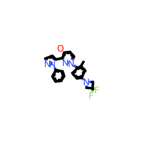 Cc1cc(N2CC(F)(F)C2)ccc1-n1ccc(=O)c(-c2ccnn2-c2ccccc2)n1